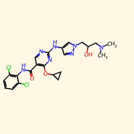 CN(C)CC(O)Cn1cc(Nc2ncc(C(=O)Nc3c(Cl)cccc3Cl)c(OC3CC3)n2)cn1